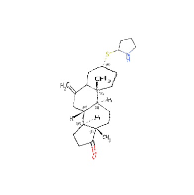 C=C1C[C@@H]2[C@H](CC[C@]3(C)C(=O)CC[C@@H]23)[C@@]2(C)CC[C@@H](SC3CCCN3)CC12